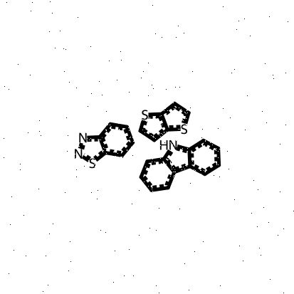 c1cc2sccc2s1.c1ccc2c(c1)[nH]c1ccccc12.c1ccc2snnc2c1